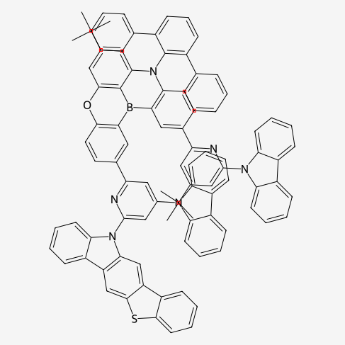 CC(C)(C)c1cc(-c2ccc3c(c2)B2c4cc(-c5cc(-n6c7ccccc7c7ccccc76)cc(-n6c7ccccc7c7cc8sc9ccccc9c8cc76)n5)ccc4Oc4cc(C(C)(C)C)cc(c42)N3c2c(-c3ccccc3)cccc2-c2ccccc2)nc(-n2c3ccccc3c3ccccc32)c1